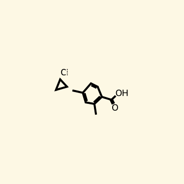 C1CC1.Cc1ccc(C(=O)O)c(C)c1.[C]